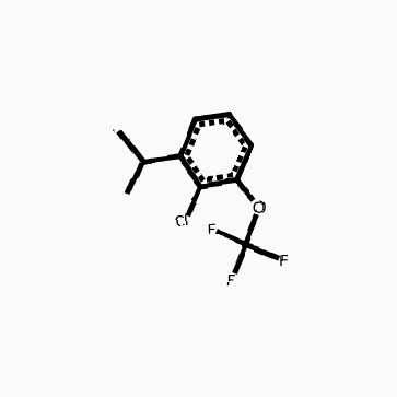 [CH2]C(C)c1cccc(OC(F)(F)F)c1Cl